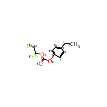 CCc1ccc(OC(=O)OC(F)CF)cc1